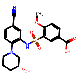 COc1ccc(C(=O)O)cc1S(=O)(=O)Nc1cc(C#N)ccc1N1CCC[C@@H](O)C1